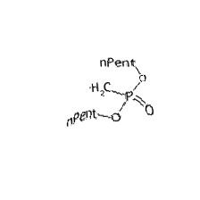 [CH2]P(=O)(OCCCCC)OCCCCC